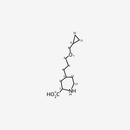 O=C(O)C1CC(CCCOCC2CC2)CCN1